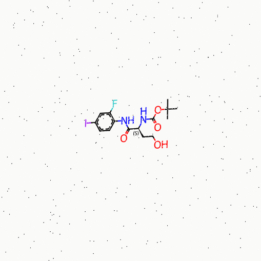 CC(C)(C)OC(=O)N[C@@H](CCO)C(=O)Nc1ccc(I)cc1F